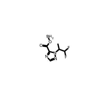 BOC(=O)c1ncnn1C(C)C(F)F